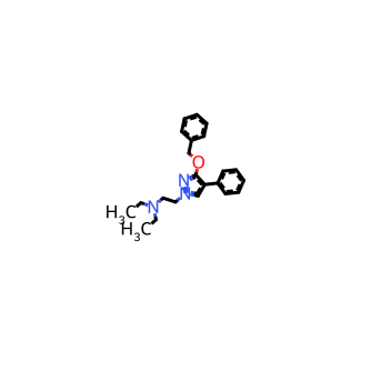 CCN(CC)CCn1cc(-c2ccccc2)c(OCc2ccccc2)n1